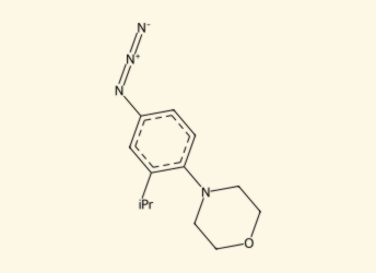 CC(C)c1cc(N=[N+]=[N-])ccc1N1CCOCC1